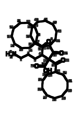 NCCCC(C(=O)C1CCCCCCCCC1)C(C(=O)O)(C(=O)C1CCCCCCCCC1)C(=O)C1CCCCCCCCC1